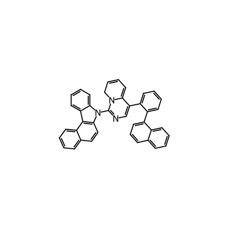 C1=CCN2C(=C1)C(c1ccccc1-c1cccc3ccccc13)=CN=C2n1c2ccccc2c2c3ccccc3ccc21